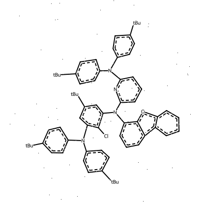 CC(C)(C)c1ccc(N(c2ccc(C(C)(C)C)cc2)c2cccc(N(c3cc(C(C)(C)C)cc(N(c4ccc(C(C)(C)C)cc4)c4ccc(C(C)(C)C)cc4)c3Cl)c3cccc4c3oc3ccccc34)n2)cc1